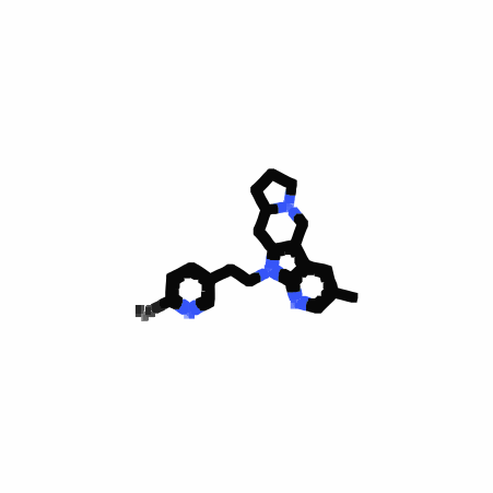 Cc1cnc2c(c1)c1c(n2CCc2ccc(C(F)(F)F)nc2)CC2CCCN2C1